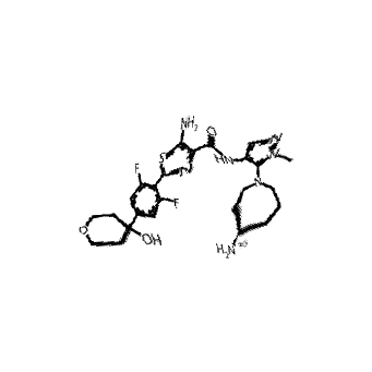 Cn1ncc(NC(=O)c2nc(-c3c(F)cc(C4(O)CCOCC4)cc3F)sc2N)c1N1CCC[C@@H](N)CC1